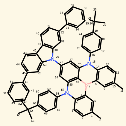 Cc1ccc2c(c1)B1c3cc(C)ccc3N(c3ccc(C(C)(C)C)cc3)c3cc(-n4c5cc(-c6ccccc6)ccc5c5ccc(-c6ccccc6)cc54)cc(c31)N2c1ccc(C(C)(C)C)cc1